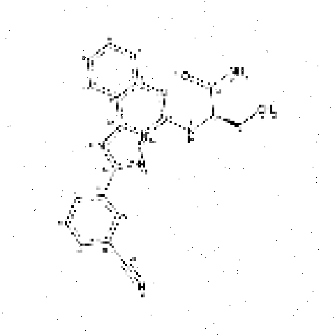 CC[C@@H](Nc1nc2ccccc2c2nc(-c3cccc(C#N)c3)nn12)C(N)=O